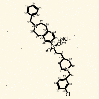 Cl.Cl.O=S(=O)(CCC1CCN(Cc2cccc(Cl)c2)CC1)c1ccc2c(c1)CCN(Cc1ccccc1)CC2